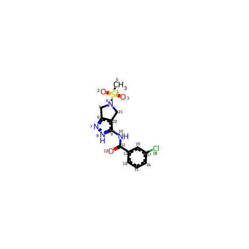 CS(=O)(=O)N1Cc2n[nH]c(NC(=O)c3cccc(Cl)c3)c2C1